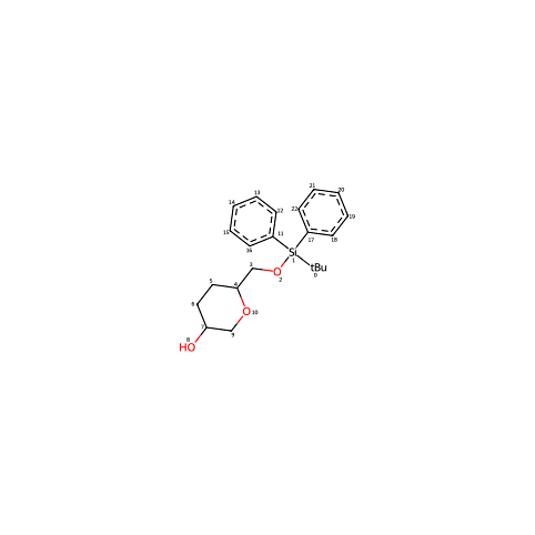 CC(C)(C)[Si](OCC1CCC(O)CO1)(c1ccccc1)c1ccccc1